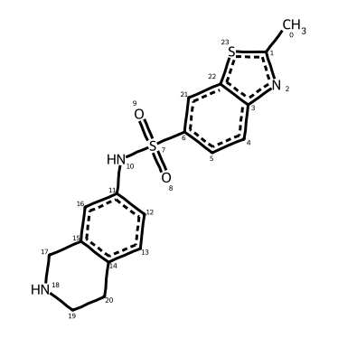 Cc1nc2ccc(S(=O)(=O)Nc3ccc4c(c3)CNCC4)cc2s1